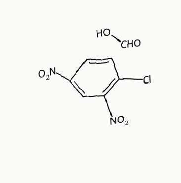 O=CO.O=[N+]([O-])c1ccc(Cl)c([N+](=O)[O-])c1